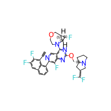 C#Cc1c(F)c(F)cc2cccc(-c3ncc4c(N5CCOC[C@H]6[C@H](F)[C@H]65)nc(OC[C@]56CCCN5CC(=C(F)F)C6)nc4c3F)c12